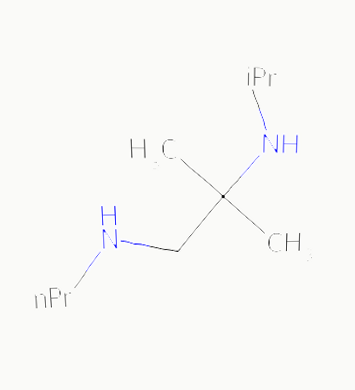 CCCNCC(C)(C)NC(C)C